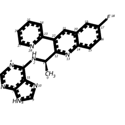 C[C@@H](Nc1ncnc2[nH]cnc12)c1nc2ccc(F)cc2cc1-c1ccccn1